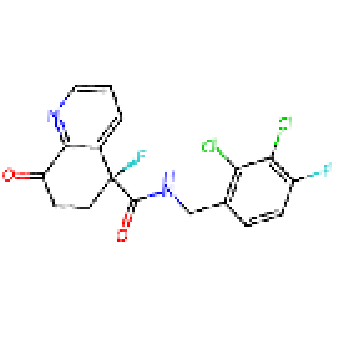 O=C1CC[C@@](F)(C(=O)NCc2ccc(F)c(Cl)c2Cl)c2cccnc21